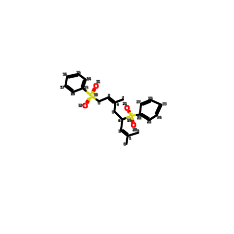 CC(C)=CC(CC(C)=CCS(=O)(=O)c1ccccc1)S(=O)(=O)c1ccccc1